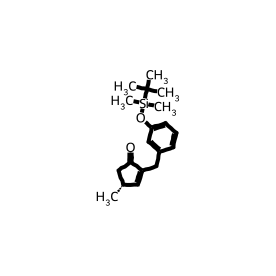 C[C@H]1C=C(Cc2cccc(O[Si](C)(C)C(C)(C)C)c2)C(=O)C1